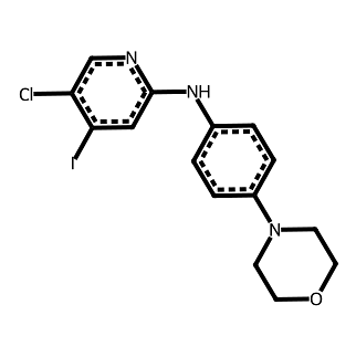 Clc1cnc(Nc2ccc(N3CCOCC3)cc2)cc1I